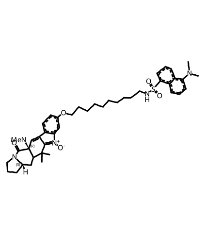 CN[C@@]12C=C3C(=[N+]([O-])c4cc(OCCCCCCCCCCNS(=O)(=O)c5cccc6c(N(C)C)cccc56)ccc43)C(C)(C)C1C[C@@H]1CCCN1C2=O